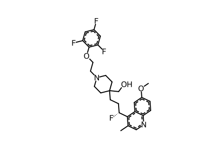 COc1ccc2ncc(C)c([C@H](F)CCC3(CO)CCN(CCOc4c(F)cc(F)cc4F)CC3)c2c1